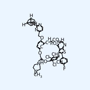 Cc1c(Cl)c2c(Cl)c(C)c1-c1c(-c3ccc(F)cc3)sc3ncnc(c13)O[C@@H](C(=O)O)Cc1cc(ccc1OCc1ccnc(N3C[C@H]4C[C@@H](C3)[C@H]4O)n1)OC[C@@H](CN1CCN(C)CC1)O2